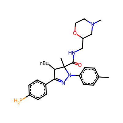 CCCCC1C(c2ccc(P)cc2)=NN(c2ccc(C)cc2)C1(C)C(=O)NCC1CN(C)CCO1